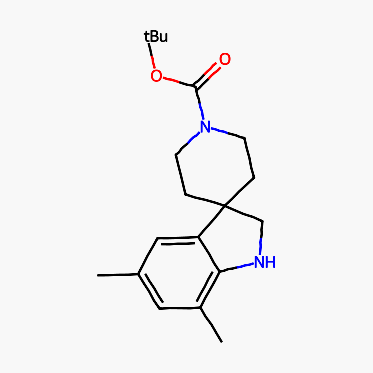 Cc1cc(C)c2c(c1)C1(CCN(C(=O)OC(C)(C)C)CC1)CN2